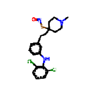 CN1CCC(CCc2cccc(Nc3c(Cl)cccc3Cl)c2)(SN=O)CC1